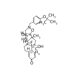 CC(C)(C)Oc1ccc(CN2C[C@@H]3C[C@H]4[C@@H]5CCC6=CC(=O)C=C[C@]6(C)[C@@]5(F)[C@@H](O)C[C@]4(C)[C@]3(C(=O)O)O2)cc1